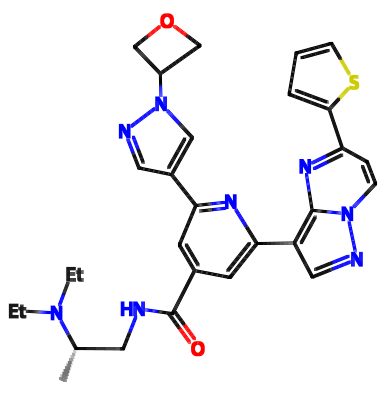 CCN(CC)[C@@H](C)CNC(=O)c1cc(-c2cnn(C3COC3)c2)nc(-c2cnn3ccc(-c4cccs4)nc23)c1